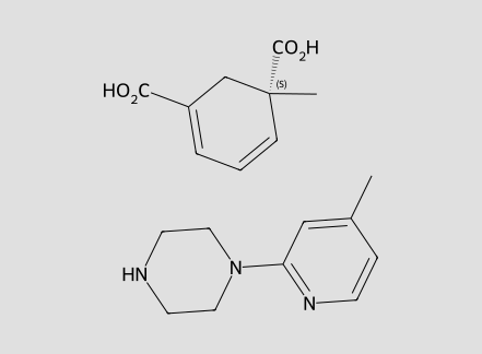 C[C@@]1(C(=O)O)C=CC=C(C(=O)O)C1.Cc1ccnc(N2CCNCC2)c1